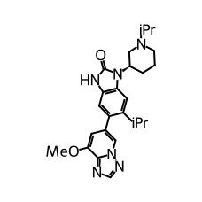 COc1cc(-c2cc3[nH]c(=O)n([C@@H]4CCCN(C(C)C)C4)c3cc2C(C)C)cn2ncnc12